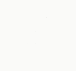 Cc1ccc(C(=O)O)cc1-c1ccc(/C=C2/Sc3ccccc3C2=O)o1